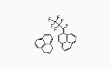 C1=Cc2cccc3cccc(c23)C1.FC(=c1ccc2cccc3cccc1c32)C(F)(F)C(F)(F)F